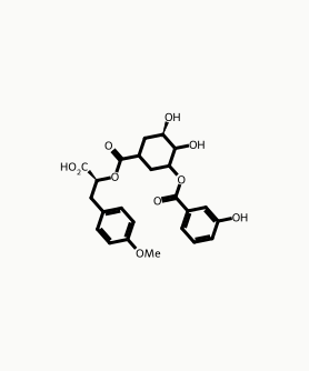 COc1ccc(C[C@H](OC(=O)C2CC(OC(=O)c3cccc(O)c3)C(O)[C@H](O)C2)C(=O)O)cc1